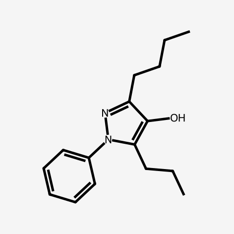 CCCCc1nn(-c2ccccc2)c(CCC)c1O